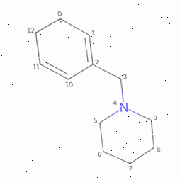 [CH]1C=C(CN2CCCCC2)C=CC1